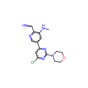 CNc1cc(-c2cc(Cl)nc(N3CCOCC3)n2)cnc1C=N